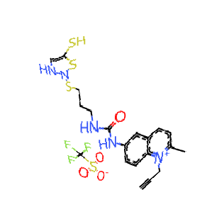 C#CC[n+]1c(C)ccc2cc(NC(=O)NCCCSN3NC=C(S)S3)ccc21.O=S(=O)([O-])C(F)(F)F